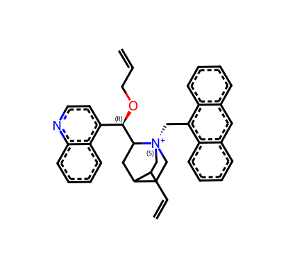 C=CCO[C@H](c1ccnc2ccccc12)C1CC2CC[N@@+]1(Cc1c3ccccc3cc3ccccc13)CC2C=C